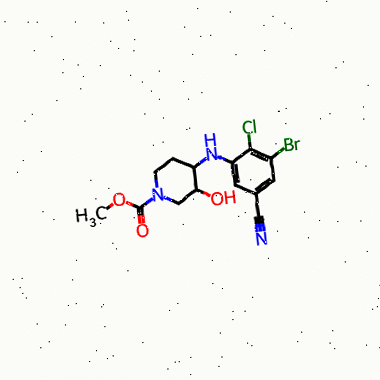 COC(=O)N1CCC(Nc2cc(C#N)cc(Br)c2Cl)C(O)C1